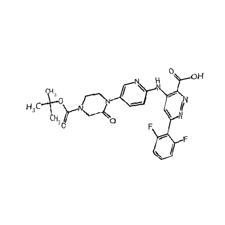 CC(C)(C)OC(=O)N1CCN(c2ccc(Nc3cc(-c4c(F)cccc4F)nnc3C(=O)O)nc2)C(=O)C1